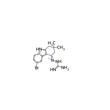 CC1(C)C/C(=N\NC(=N)N)c2c([nH]c3ccc(Br)cc23)C1